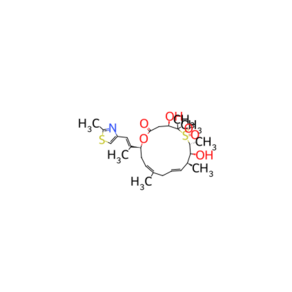 C/C1=C/C[C@@H](/C(C)=C/c2csc(C)n2)OC(=O)C[C@@H](O)C(C)(C)S(=O)(=O)[C@H](C)[C@@H](O)[C@@H](C)/C=C/C1